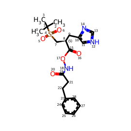 CC(C)(C)S(=O)(=O)C[C@@H](Cc1c[nH]cn1)C(=O)ONC(=O)CCc1ccccc1